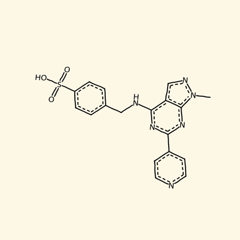 Cn1ncc2c(NCc3ccc(S(=O)(=O)O)cc3)nc(-c3ccncc3)nc21